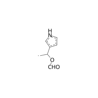 [CH2]C(OC=O)c1cc[nH]c1